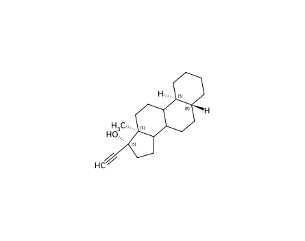 C#C[C@]1(O)CCC2C3CC[C@H]4CCCC[C@@H]4C3CC[C@@]21C